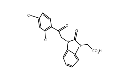 O=C(O)Cn1c(=O)n(CC(=O)c2ccc(Cl)cc2Cl)c2ccccc21